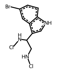 ClNCC(NCl)c1c[nH]c2ccc(Br)cc12